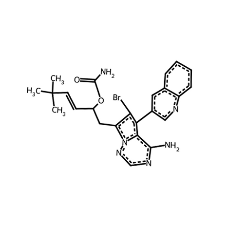 CC(C)(C)C=CC(Cc1c(Br)c(-c2cnc3ccccc3c2)c2c(N)ncnn12)OC(N)=O